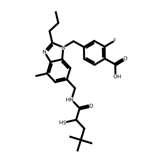 CCCc1nc2c(C)cc(CNC(=O)C(S)CC(C)(C)C)cc2n1Cc1ccc(C(=O)O)c(F)c1